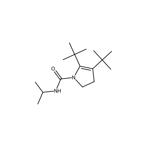 CC(C)NC(=O)N1CCC(C(C)(C)C)=C1C(C)(C)C